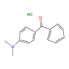 CN(C)c1ccc(C(=O)c2ccccc2)cc1.Cl